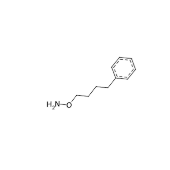 NOCCCCc1ccccc1